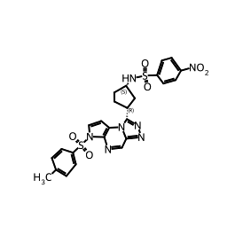 Cc1ccc(S(=O)(=O)n2ccc3c2ncc2nnc([C@@H]4CC[C@H](NS(=O)(=O)c5ccc([N+](=O)[O-])cc5)C4)n23)cc1